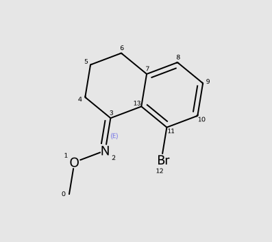 CO/N=C1\CCCc2cccc(Br)c21